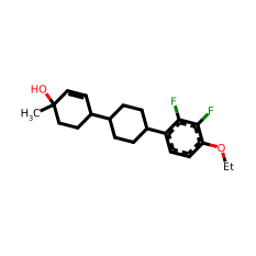 CCOc1ccc(C2CCC(C3C=CC(C)(O)CC3)CC2)c(F)c1F